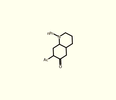 CCCN1CCCC2CC(=O)C(C(C)=O)CC21